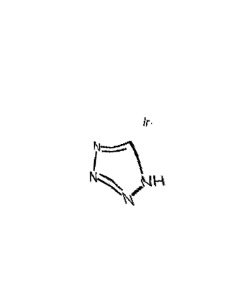 [Ir].c1nnn[nH]1